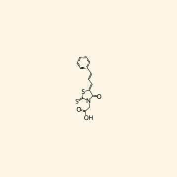 O=C(O)CN1C(=O)C(=CC=Cc2ccccc2)SC1=S